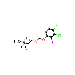 C[Si](C)(C)CCOCOc1ccc(Cl)c(Cl)c1I